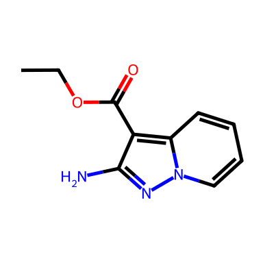 CCOC(=O)c1c(N)nn2ccccc12